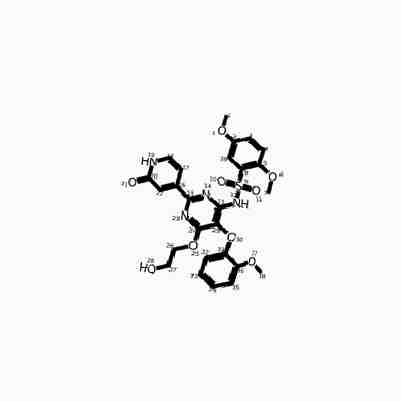 COc1ccc(OC)c(S(=O)(=O)Nc2nc(-c3cc[nH]c(=O)c3)nc(OCCO)c2Oc2ccccc2OC)c1